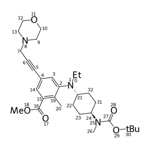 CCN(c1cc(C#CCN2CCOCC2)cc(C(=O)OC)c1C)[C@H]1CC[C@H](N(C)C(=O)OC(C)(C)C)CC1